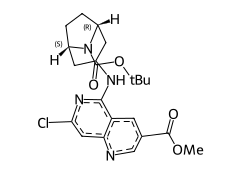 COC(=O)c1cnc2cc(Cl)nc(NC3C[C@H]4CC[C@@H](C3)N4C(=O)OC(C)(C)C)c2c1